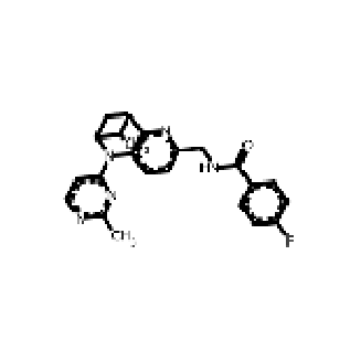 Cc1nccc(N2c3ccc(CNC(=O)c4ccc(F)cc4)nc3C3CC2C3C)n1